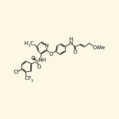 COC/C=C/C(=O)Nc1ccc(Oc2ncc(C)cc2NS(=O)(=O)c2ccc(Cl)c(C(F)(F)F)c2)cc1